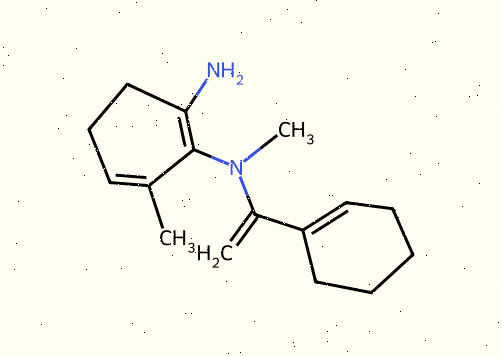 C=C(C1=CCCCC1)N(C)C1=C(N)CCC=C1C